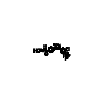 C=N/C(=C\C(=N/C)c1ccc(OC(F)(F)F)c(Cl)c1)N1CCC(C(=O)NCCO)CC1